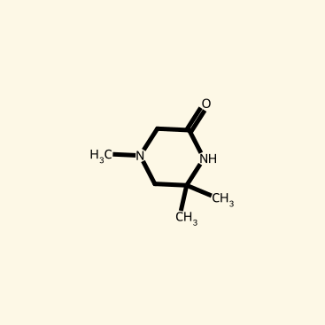 CN1CC(=O)NC(C)(C)C1